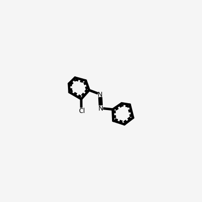 Clc1ccccc1N=Nc1ccccc1